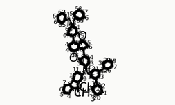 CC1(C)c2ccccc2-c2ccc(N(c3cc(-c4ccccc4)cc(-c4ccccc4)c3)c3ccc4c(c3)Oc3ccc5c6c(ccc-4c36)Oc3cc(N(c4ccccc4)c4ccccc4)ccc3-5)cc21